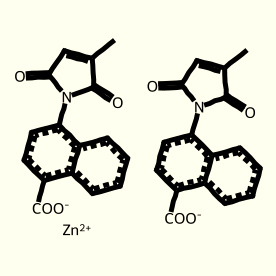 CC1=CC(=O)N(c2ccc(C(=O)[O-])c3ccccc23)C1=O.CC1=CC(=O)N(c2ccc(C(=O)[O-])c3ccccc23)C1=O.[Zn+2]